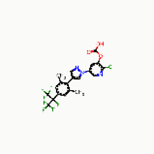 Cc1cc(C(F)(C(F)(F)F)C(F)(F)F)cc(C)c1-c1cnn(-c2cnc(Cl)c(OC(=O)O)c2)c1